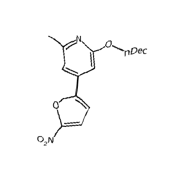 CCCCCCCCCCOc1cc(-c2ccc([N+](=O)[O-])o2)cc(C)n1